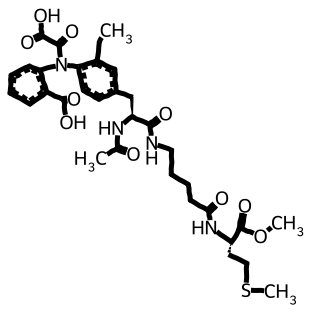 CCc1cc(C[C@H](NC(C)=O)C(=O)NCCCCC(=O)N[C@@H](CCSC)C(=O)OC)ccc1N(C(=O)C(=O)O)c1ccccc1C(=O)O